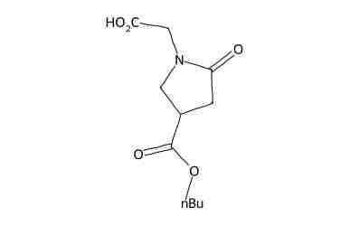 CCCCOC(=O)C1CC(=O)N(CC(=O)O)C1